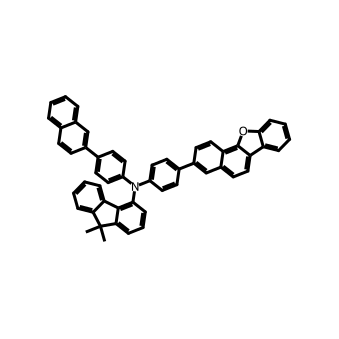 CC1(C)c2ccccc2-c2c(N(c3ccc(-c4ccc5ccccc5c4)cc3)c3ccc(-c4ccc5c(ccc6c7ccccc7oc56)c4)cc3)cccc21